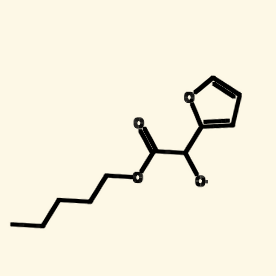 CCCCCOC(=O)C([O])c1ccco1